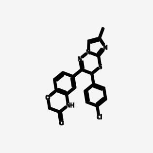 Cc1cn2c(n1)SC(c1ccc(Cl)cc1)C(c1ccc3c(c1)NC(=O)CO3)=N2